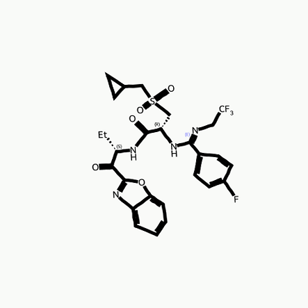 CC[C@H](NC(=O)[C@H](CS(=O)(=O)CC1CC1)N/C(=N/CC(F)(F)F)c1ccc(F)cc1)C(=O)c1nc2ccccc2o1